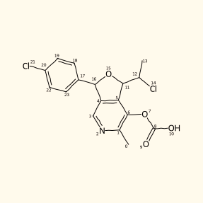 Cc1ncc2c(c1OC(=O)O)C(C(C)Cl)OC2c1ccc(Cl)cc1